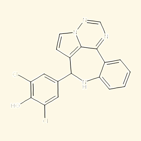 Oc1c(Cl)cc(C2Nc3ccccc3-c3ncnn4ccc2c34)cc1Cl